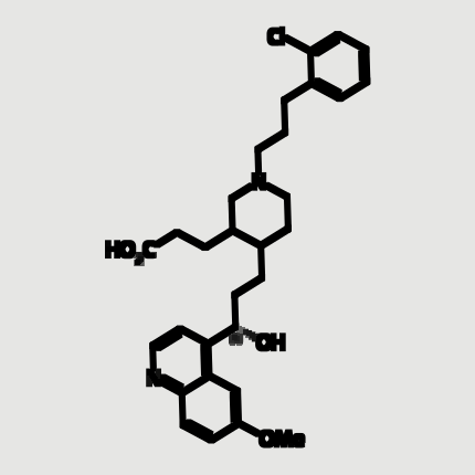 COc1ccc2nccc([C@@H](O)CCC3CCN(CCCc4ccccc4Cl)CC3CCC(=O)O)c2c1